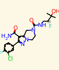 CC(C)(O)[C@H](F)CNC(=O)N1CCn2nc(-c3ccc(F)c(Cl)c3)c(C(N)=O)c2C1